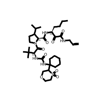 C=CCNC(=O)C(=O)[C@H](CCCC)NC(=O)[C@@H]1C(C(C)C)CCN1C(=O)[C@@H](NC(=O)NC1(C2COCCS2(=O)=O)CCCCC1)C(C)(C)C